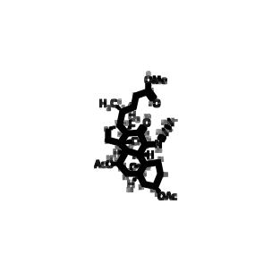 COC(=O)CC[C@@H](C)[C@H]1CC[C@@]2(C)[C@@H]3[C@H](OC(C)=O)C[C@@H]4C[C@H](OC(C)=O)CC[C@]4(C)[C@H]3C(N=[N+]=[N-])C(=O)[C@]12C